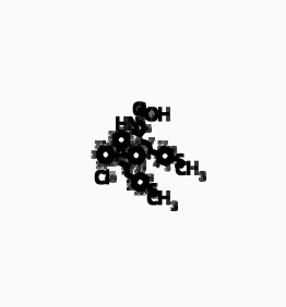 CSc1ccc(CCC[C@@H]2CN[C@H](C(=O)O)C2)cc1.CSc1ccc(CCC[P+](c2ccccc2)(c2ccccc2)c2ccccc2)cc1.[Cl-]